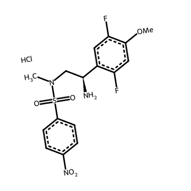 COc1cc(F)c([C@@H](N)CN(C)S(=O)(=O)c2ccc([N+](=O)[O-])cc2)cc1F.Cl